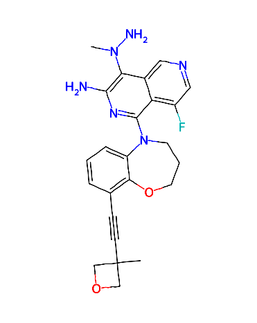 CN(N)c1c(N)nc(N2CCCOc3c(C#CC4(C)COC4)cccc32)c2c(F)cncc12